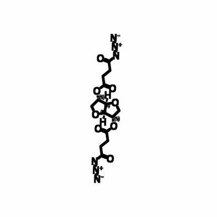 [N-]=[N+]=NC(=O)CCC(=O)O[C@H]1CO[C@H]2[C@@H]1OC[C@@H]2OC(=O)CCC(=O)N=[N+]=[N-]